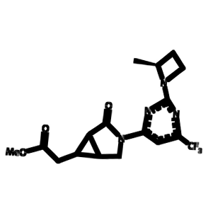 COC(=O)CC1C2CN(c3cc(C(F)(F)F)nc(N4CC[C@@H]4C)n3)C(=O)C12